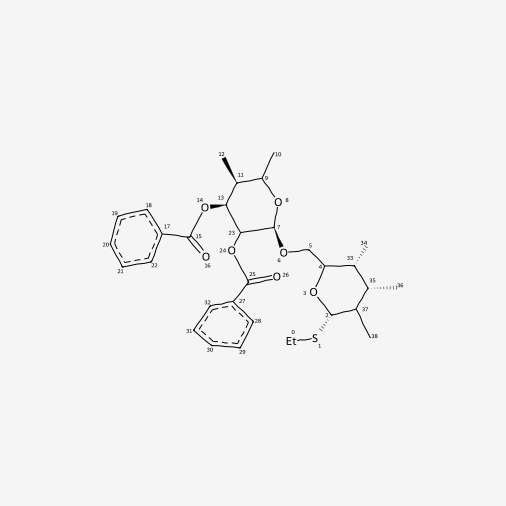 CCS[C@@H]1OC(CO[C@@H]2OC(C)[C@H](C)[C@H](OC(=O)c3ccccc3)C2OC(=O)c2ccccc2)[C@H](C)[C@H](C)C1C